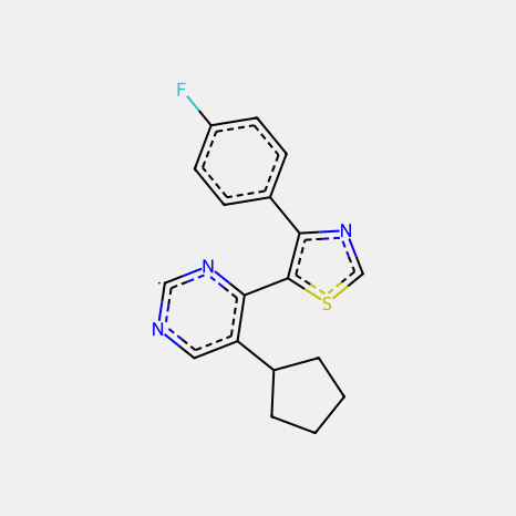 Fc1ccc(-c2ncsc2-c2n[c]ncc2C2CCCC2)cc1